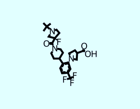 CC(C)(C)N1CC[C@](F)(C(=O)N2CCC(c3ccc(C(F)(F)F)cc3N3CCC(C(=O)O)C3)CC2)C1